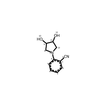 N#Cc1ccccc1N1CC(O)C(O)C1